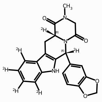 [2H]c1c([2H])c([2H])c2c3c([nH]c2c1[2H])[C@@]([2H])(c1ccc2c(c1)OCO2)N1C(=O)CN(C)C(=O)[C@@]1([2H])C3